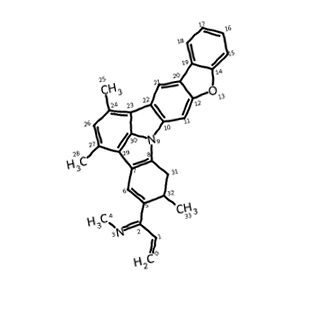 C=C/C(=N/C)C1=Cc2c(n3c4cc5oc6ccccc6c5cc4c4c(C)cc(C)c2c43)CC1C